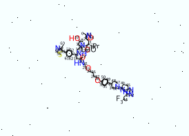 Cc1cc([C@H](C(=O)N2C[C@H](O)CC2(C=O)CNC(CC(=O)NCCOCCCCOc2ccc(C3CCN(C4=Nn5c(nnc5C(F)(F)F)CC4)CC3)cc2)c2ccc(-c3scnc3C)cc2)C(C)C)on1